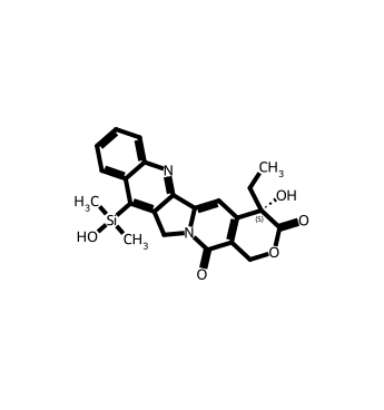 CC[C@@]1(O)C(=O)OCc2c1cc1n(c2=O)Cc2c-1nc1ccccc1c2[Si](C)(C)O